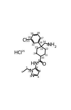 CCn1nccc1NC(=O)C1CCC(CN)(c2cccc(Cl)c2)CC1.Cl